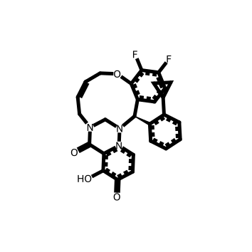 O=C1c2c(O)c(=O)ccn2N2CN1C/C=C\COc1c(ccc(F)c1F)[C@H]2c1ccccc1C1CC1